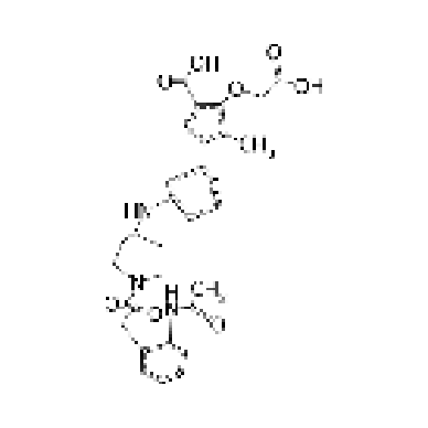 CC(=O)Nc1ccccc1CS(=O)(=O)N1CCC(Nc2cccc(-c3sc(C(=O)O)c(OCC(=O)O)c3C)c2)CC1